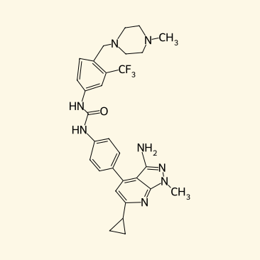 CN1CCN(Cc2ccc(NC(=O)Nc3ccc(-c4cc(C5CC5)nc5c4c(N)nn5C)cc3)cc2C(F)(F)F)CC1